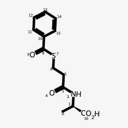 C[C@@H](NC(=O)CCSC(=O)c1ccccc1)C(=O)O